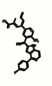 C=C/C=C(\C=C(/C)NC(C)C)c1ccc(N)c(C(=N)c2cc3c(-c4ccc(F)cc4)nccc3[nH]2)c1